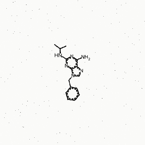 CC(C)Nc1nc(N)c2ncn(Cc3ccccc3)c2n1